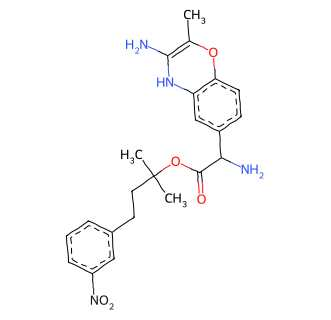 CC1=C(N)Nc2cc(C(N)C(=O)OC(C)(C)CCc3cccc([N+](=O)[O-])c3)ccc2O1